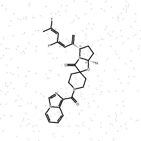 C=C(/C=C(F)\C=C(/C)F)[C@@H]1CC[C@H]2OC3(CCN(C(=O)c4ncn5ccccc45)CC3)C(=O)N21